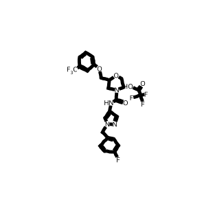 O=C(Nc1cnn(Cc2ccc(F)cc2)c1)N1CCOC(COc2cccc(C(F)(F)F)c2)C1.O=C(O)C(F)(F)F